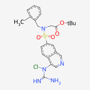 Cc1ccccc1CN(CC(=O)OC(C)(C)C)S(=O)(=O)c1ccc2c(N(Cl)C(=N)N)cncc2c1